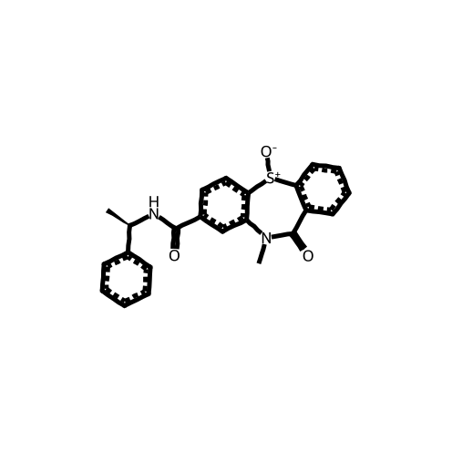 C[C@@H](NC(=O)c1ccc2c(c1)N(C)C(=O)c1ccccc1[S+]2[O-])c1ccccc1